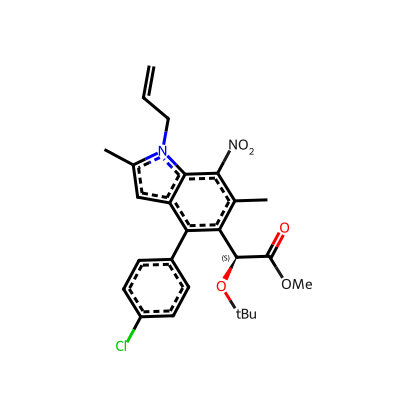 C=CCn1c(C)cc2c(-c3ccc(Cl)cc3)c([C@H](OC(C)(C)C)C(=O)OC)c(C)c([N+](=O)[O-])c21